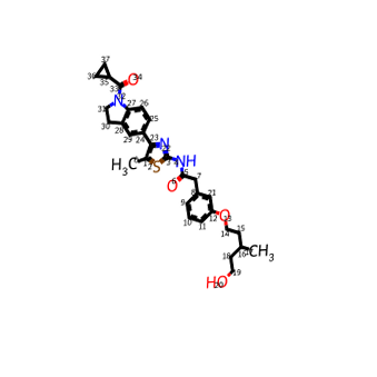 Cc1sc(NC(=O)Cc2cccc(OCCC(C)CCO)c2)nc1-c1ccc2c(c1)CCN2C(=O)C1CC1